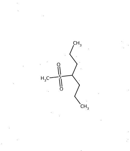 CCCC(CCC)S(C)(=O)=O